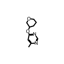 Cc1cc(OC2CCCOC2)ncn1